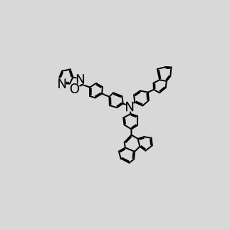 c1ccc2cc(-c3ccc(N(c4ccc(-c5ccc(-c6nc7cccnc7o6)cc5)cc4)c4ccc(-c5cc6ccccc6c6ccccc56)cc4)cc3)ccc2c1